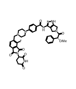 CO[C@@H](C(=O)N1Cc2[nH]nc(NC(=O)c3ccc(N4CCN(Cc5ccc6c(c5F)C(=O)N(C5CCC(=O)NC5=O)C6=O)CC4)cc3)c2C1)c1ccccc1